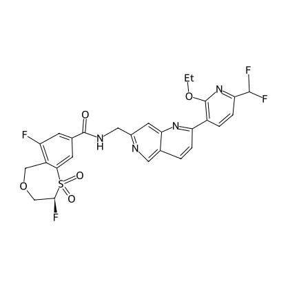 CCOc1nc(C(F)F)ccc1-c1ccc2cnc(CNC(=O)c3cc(F)c4c(c3)S(=O)(=O)[C@@H](F)COC4)cc2n1